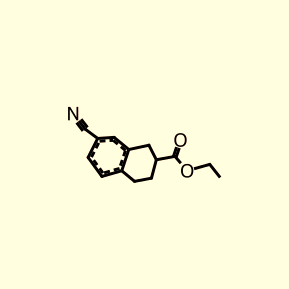 CCOC(=O)C1CCc2ccc(C#N)cc2C1